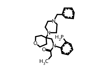 CCC(=O)N(CC1(N2CCN(Cc3ccccc3)CC2)CCOCC1)c1ccccc1P